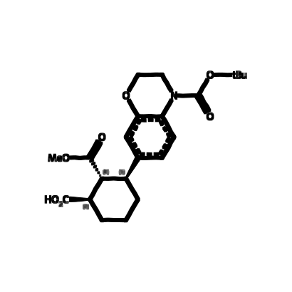 COC(=O)[C@@H]1[C@@H](c2ccc3c(c2)OCCN3C(=O)OC(C)(C)C)CCC[C@H]1C(=O)O